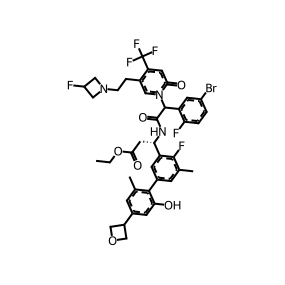 CCOC(=O)C[C@H](NC(=O)C(c1cc(Br)ccc1F)n1cc(CCN2CC(F)C2)c(C(F)(F)F)cc1=O)c1cc(-c2c(C)cc(C3COC3)cc2O)cc(C)c1F